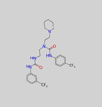 O=C(NCCN(CCN1CCCCC1)C(=O)Nc1ccc(C(F)(F)F)cc1)Nc1cccc(C(F)(F)F)c1